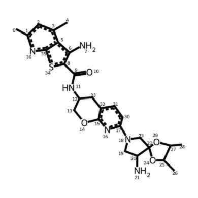 Cc1cc(C)c2c(N)c(C(=O)NC3COc4nc(N5CC(N)C6(C5)OC(C)C(C)O6)ccc4C3)sc2n1